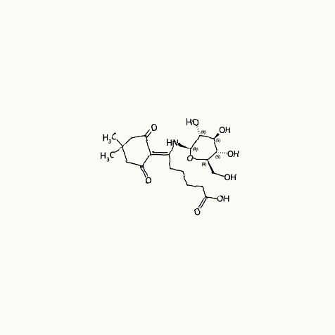 CC1(C)CC(=O)C(=C(CCCCC(=O)O)N[C@@H]2O[C@H](CO)[C@@H](O)[C@H](O)[C@H]2O)C(=O)C1